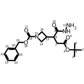 CC(C)(C)OC(=O)CC(C(=O)NN)C1CN(C(=O)OCc2ccccc2)C1